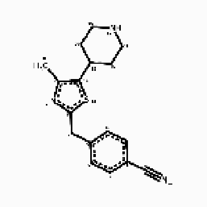 Cc1nc(Cc2ccc(C#N)cc2)sc1C1CCNCC1